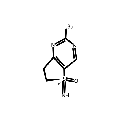 CC(C)(C)c1ncc2c(n1)CC[S@]2(=N)=O